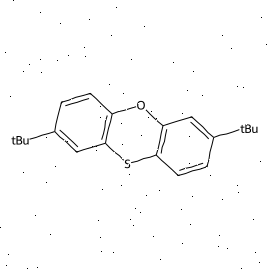 CC(C)(C)c1ccc2c(c1)Oc1ccc(C(C)(C)C)cc1S2